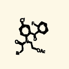 CC(=O)OCCN(C(=O)CBr)c1ccc(Cl)cc1C(=O)c1ccccc1F